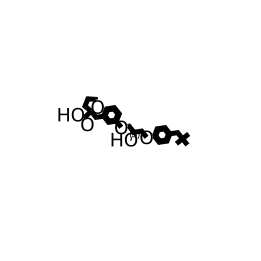 CC(C)(C)Cc1ccc(OC[C@H](O)COc2cccc(CC3(C(=O)O)CCCO3)c2)cc1